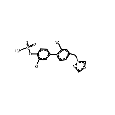 N#Cc1cc(Cn2cncn2)ccc1-c1ccc(OS(N)(=O)=O)c(Cl)c1